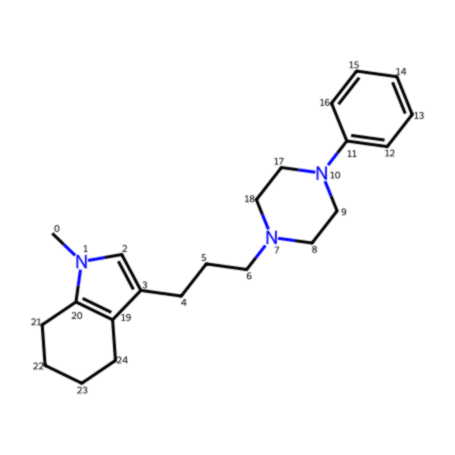 Cn1cc(CCCN2CCN(c3ccccc3)CC2)c2c1CCCC2